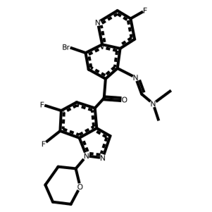 CN(C)/C=N/c1c(C(=O)c2cc(F)c(F)c3c2cnn3C2CCCCO2)cc(Br)c2ncc(F)cc12